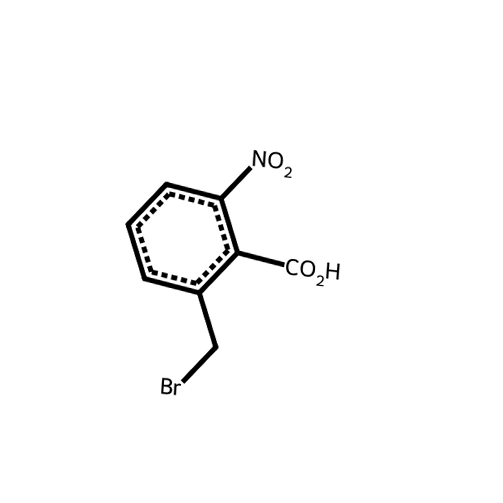 O=C(O)c1c(CBr)cccc1[N+](=O)[O-]